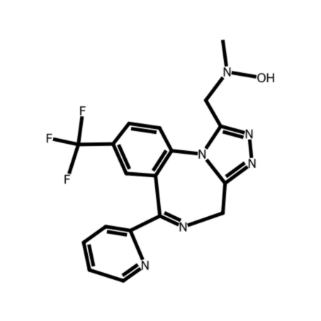 CN(O)Cc1nnc2n1-c1ccc(C(F)(F)F)cc1C(c1ccccn1)=NC2